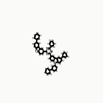 c1ccc(-c2cccc(-n3c4ccc(-c5ccccc5)cc4c4cc(-c5nc(-c6ccccc6)nc(-c6ccc7oc8ccc(-c9ccccc9)cc8c7c6)n5)ccc43)c2)cc1